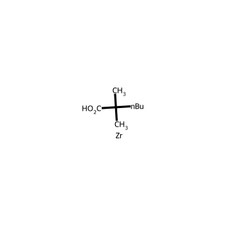 CCCCC(C)(C)C(=O)O.[Zr]